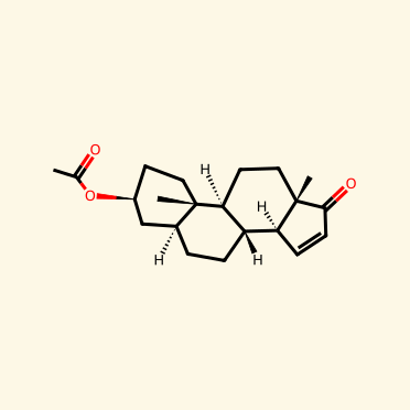 CC(=O)O[C@H]1CC[C@@]2(C)[C@@H](CC[C@@H]3[C@@H]2CC[C@]2(C)C(=O)C=C[C@@H]32)C1